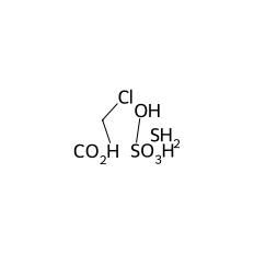 O=C(O)CCl.O=S(=O)(O)O.S